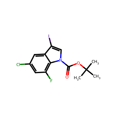 CC(C)(C)OC(=O)n1cc(I)c2cc(Cl)cc(F)c21